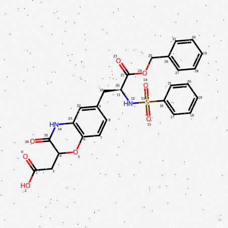 O=C(O)CC1Oc2ccc(C[C@H](NS(=O)(=O)c3ccccc3)C(=O)OCc3ccccc3)cc2NC1=O